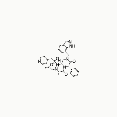 C=CCN1C(C)C(=O)N2[C@@H](c3ccccc3)C(=O)N(Cc3cccc4cn[nH]c34)C[C@@H]2N1S(=O)(=O)Cc1ccncc1